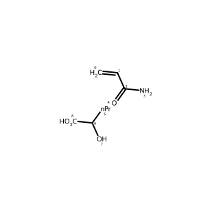 C=CC(N)=O.CCCC(O)C(=O)O